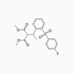 COC(=O)C(C(=O)OC)C(C)c1ccccc1S(=O)(=O)c1ccc(F)cc1